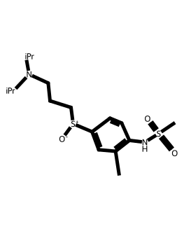 Cc1cc([S+]([O-])CCCN(C(C)C)C(C)C)ccc1NS(C)(=O)=O